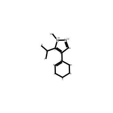 CC(C)c1c(C2=CCCCC2)cnn1C